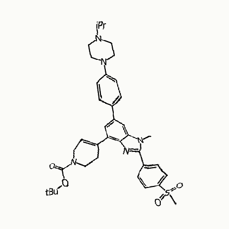 CC(C)N1CCN(c2ccc(-c3cc(C4=CCN(C(=O)OC(C)(C)C)CC4)c4nc(-c5ccc(S(C)(=O)=O)cc5)n(C)c4c3)cc2)CC1